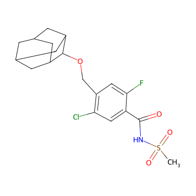 CS(=O)(=O)NC(=O)c1cc(Cl)c(COC2C3CC4CC(C3)CC2C4)cc1F